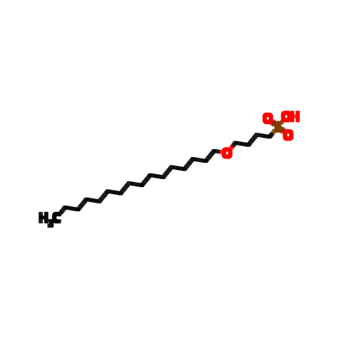 CCCCCCCCCCCCCCCCOCCCCS(=O)(=O)O